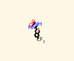 O=c1[nH]cc(C2Cc3ccc(C(F)(F)F)cc3CS2)[nH]c1=O